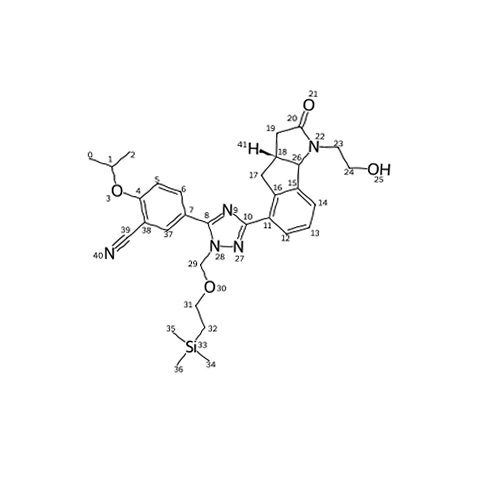 CC(C)Oc1ccc(-c2nc(-c3cccc4c3C[C@@H]3CC(=O)N(CCO)C43)nn2COCC[Si](C)(C)C)cc1C#N